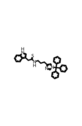 S=C(Cc1c[nH]c2ccccc12)NCCCc1cn(C(c2ccccc2)(c2ccccc2)c2ccccc2)cn1